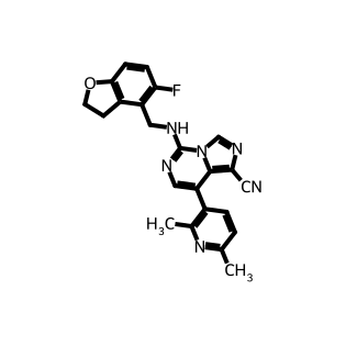 Cc1ccc(-c2cnc(NCc3c(F)ccc4c3CCO4)n3cnc(C#N)c23)c(C)n1